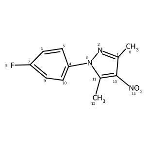 Cc1nn(-c2ccc(F)cc2)c(C)c1[N+](=O)[O-]